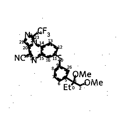 CCC(COC)(OC)c1cccc(Sc2ccc3c(c2)nc(C#N)c2cnc(C(F)(F)F)n23)c1